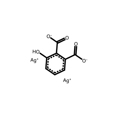 O=C([O-])c1cccc(O)c1C(=O)[O-].[Ag+].[Ag+]